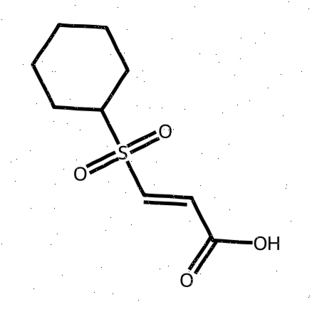 O=C(O)C=CS(=O)(=O)C1CCCCC1